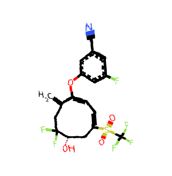 C=C1CC(F)(F)[C@@H](O)C/C(S(=O)(=O)C(F)(F)F)=C\C=C/1Oc1cc(F)cc(C#N)c1